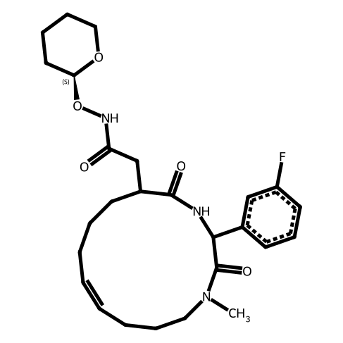 CN1CCCC=CCCCC(CC(=O)NO[C@H]2CCCCO2)C(=O)NC(c2cccc(F)c2)C1=O